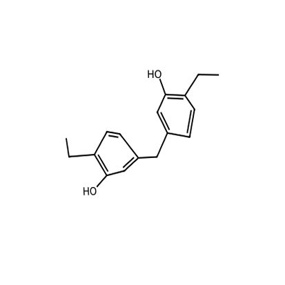 CCc1ccc(Cc2ccc(CC)c(O)c2)cc1O